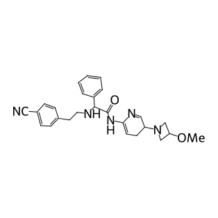 COC1CN(C2C=NC(NC(=O)C(NCCc3ccc(C#N)cc3)c3ccccc3)=CC2)C1